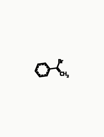 C=C(Br)c1ccccc1